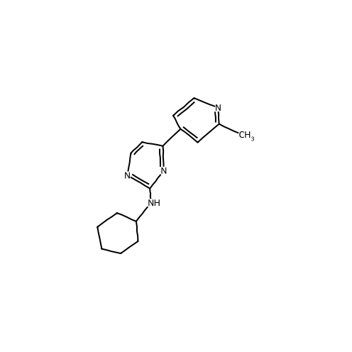 Cc1cc(-c2ccnc(NC3CCCCC3)n2)ccn1